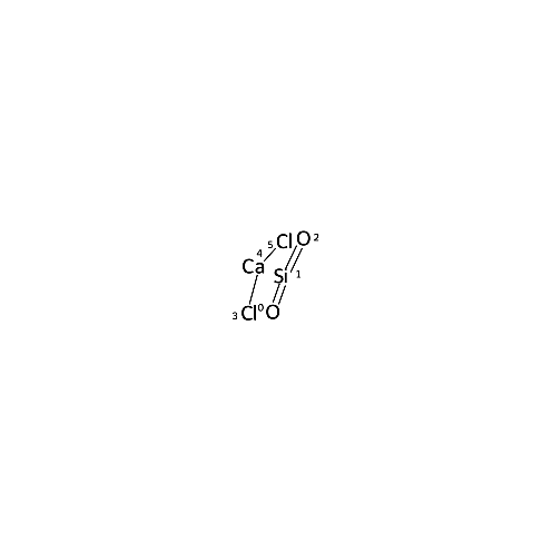 O=[Si]=O.[Cl][Ca][Cl]